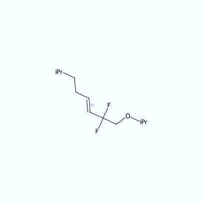 CC(C)CC/C=C/C(F)(F)COC(C)C